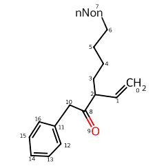 C=CC(CCCCCCCCCCCCC)C(=O)Cc1ccccc1